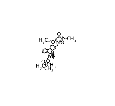 CCCOc1cc(=O)n(CCC)c(=O)n1Cc1ccc(-c2ccccc2-c2nnnn2COC(=O)C(C)(C)C)cc1